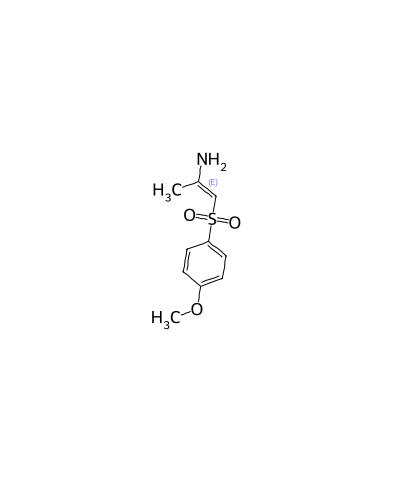 COc1ccc(S(=O)(=O)/C=C(\C)N)cc1